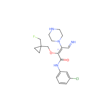 N=C/C(=C(/OCC1(CF)CC1)C(=O)Nc1cccc(Cl)c1)N1CCNCC1